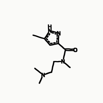 Cc1cc(C(=O)N(C)CCN(C)C)n[nH]1